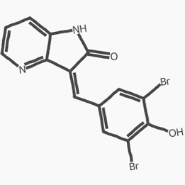 O=C1Nc2cccnc2C1=Cc1cc(Br)c(O)c(Br)c1